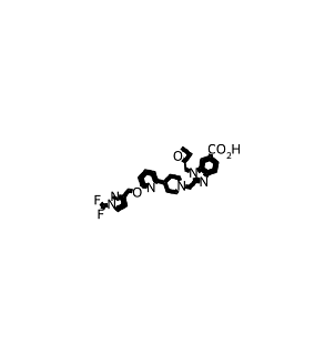 O=C(O)c1ccc2nc(CN3CCC(c4cccc(OCc5ccn(C(F)F)n5)n4)CC3)n(C[C@@H]3CCO3)c2c1